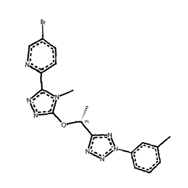 Cc1cccc(-n2nnc([C@@H](C)Oc3nnc(-c4ccc(Br)cn4)n3C)n2)c1